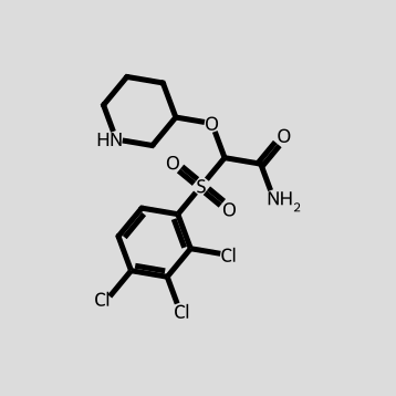 NC(=O)C(OC1CCCNC1)S(=O)(=O)c1ccc(Cl)c(Cl)c1Cl